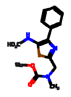 CN(Cc1nc(-c2ccccc2)c(NC(=O)O)s1)C(=O)OC(C)(C)C